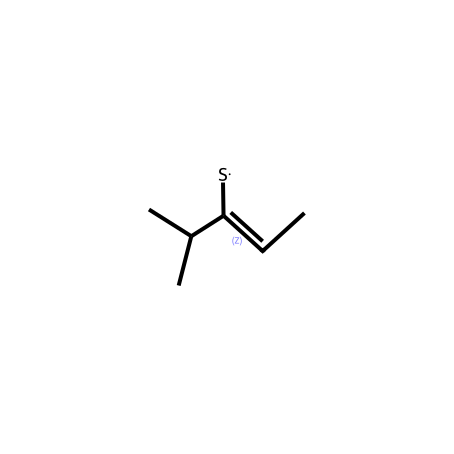 C/C=C(\[S])C(C)C